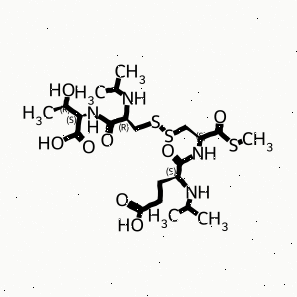 CSC(=O)[C@H](CSSC[C@H](NC(C)C)C(=O)N[C@H](C(=O)O)[C@@H](C)O)NC(=O)[C@H](CCC(=O)O)NC(C)C